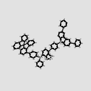 c1ccc(-c2ccc3c(c2)c2cc(-c4ccccc4)ccc2n3-c2ccc(-c3ccc(N(c4ccccc4)c4ccc(-c5cccc6c5-c5ccccc5C65c6ccccc6-c6ccccc65)cc4)c4nsnc34)cc2)cc1